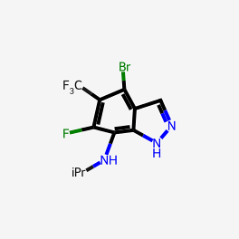 CC(C)Nc1c(F)c(C(F)(F)F)c(Br)c2cn[nH]c12